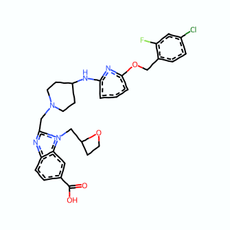 O=C(O)c1ccc2nc(CN3CCC(Nc4cccc(OCc5ccc(Cl)cc5F)n4)CC3)n(CC3CCO3)c2c1